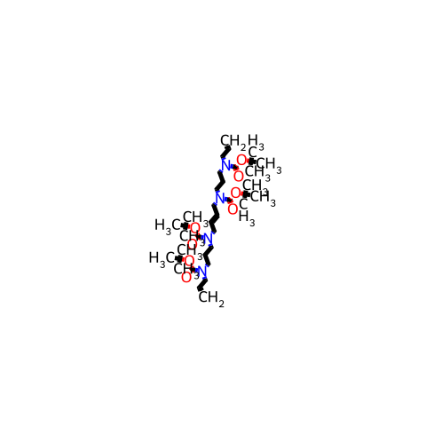 C=CCN(CCCN(CC=CCN(CCCN(CC=C)C(=O)OC(C)(C)C)C(=O)OC(C)(C)C)C(=O)OC(C)(C)C)C(=O)OC(C)(C)C